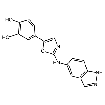 Oc1ccc(-c2cnc(Nc3ccc4[nH]ncc4c3)o2)cc1O